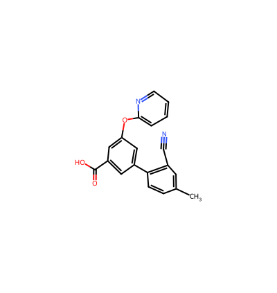 Cc1ccc(-c2cc(Oc3ccccn3)cc(C(=O)O)c2)c(C#N)c1